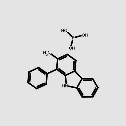 Nc1ccc2c([nH]c3ccccc32)c1-c1ccccc1.OB(O)O